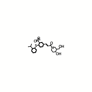 CC(C)c1ccccc1Sc1ccc(C=CC(=O)N2CCC(O)C(CO)C2)cc1[N+](=O)[O-]